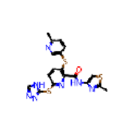 Cc1ccc(Sc2ccc(Sc3nnc[nH]3)nc2C(=O)Nc2csc(C)n2)cn1